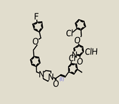 Cc1cc(/C=C/C(=O)N2CCN(Cc3ccc(CCOCc4ccc(F)cc4)cc3)CC2)cc(Cl)c1Oc1ccc(OCc2ccccc2Cl)cn1.Cl